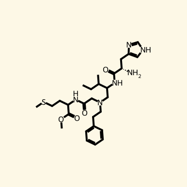 CCC(C)C(CN(CCc1ccccc1)CC(=O)NC(CCSC)C(=O)OC)NC(=O)[C@@H](N)Cc1c[nH]cn1